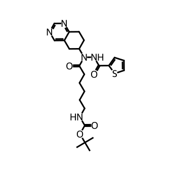 CC(C)(C)OC(=O)NCCCCCC(=O)N(NC(=O)c1cccs1)C1CCc2ncncc2C1